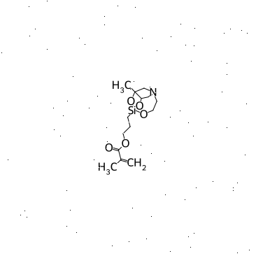 C=C(C)C(=O)OCCC[Si]12OCCN(CCO1)CC(C)O2